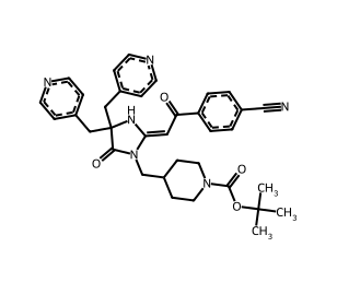 CC(C)(C)OC(=O)N1CCC(CN2C(=O)C(Cc3ccncc3)(Cc3ccncc3)N/C2=C\C(=O)c2ccc(C#N)cc2)CC1